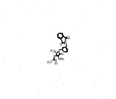 CCS/C(C)=N\c1c(NC)c(=O)n(Cc2cccc(CN3C(=O)c4ccccc4C3=O)c2)n1C